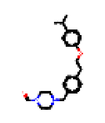 CC(C)c1ccc(OCCc2ccc(CN3CCN(C=O)CC3)cc2)cc1